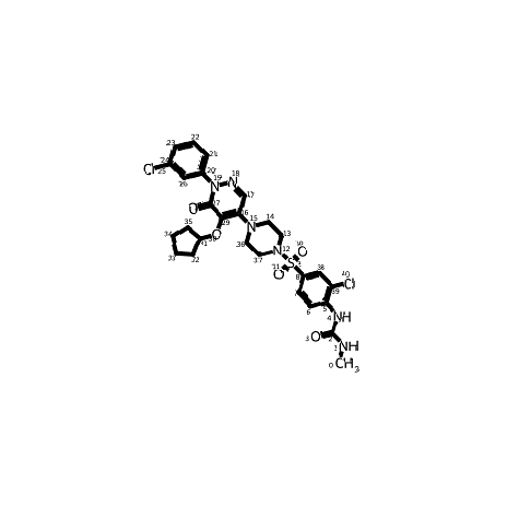 CNC(=O)Nc1ccc(S(=O)(=O)N2CCN(c3cnn(-c4cccc(Cl)c4)c(=O)c3OC3CCCC3)CC2)cc1Cl